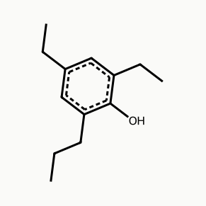 CCCc1cc(CC)cc(CC)c1O